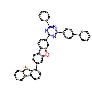 c1ccc(-c2ccc(-c3nc(-c4ccccc4)nc(-c4ccc5c(c4)oc4cc(-c6cccc7c6sc6ccccc67)ccc45)n3)cc2)cc1